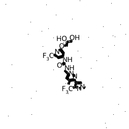 Cc1cc(CNC(=O)Nc2cc(OCC(O)CO)nc(C(F)(F)F)c2)nnc1-c1cn(C)nc1C(F)(F)F